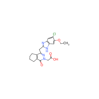 CCOc1cc2[nH]c(Cc3nn(CC(=O)O)c(=O)c4c3CCCC4)nc2cc1Cl